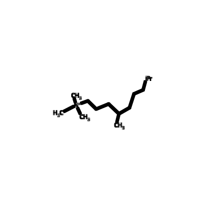 CC(C)CCCC(C)CCC[N+](C)(C)C